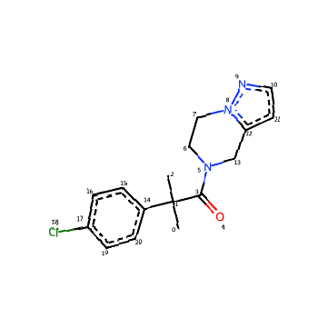 CC(C)(C(=O)N1CCn2nccc2C1)c1ccc(Cl)cc1